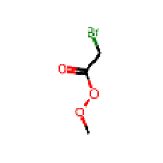 COOC(=O)CBr